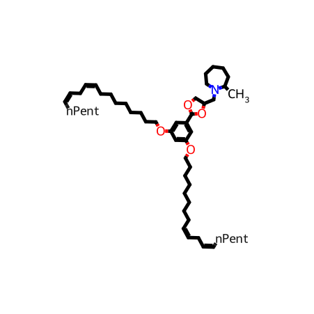 CCCCC/C=C\C/C=C\CCCCCCCCOc1cc(OCCCCCCCC/C=C\C/C=C\CCCCC)cc(C2OCC(CN3CCCCCC3C)O2)c1